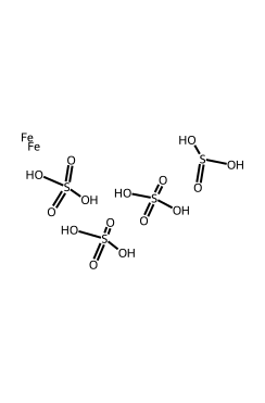 O=S(=O)(O)O.O=S(=O)(O)O.O=S(=O)(O)O.O=S(O)O.[Fe].[Fe]